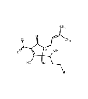 CCC(=O)C1=C(O)C(O)(C(O)CCC(C)C)[C@H](CC=C(C)C)C1=O